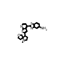 CN1CCC(c2cc3c(-c4nc5cc(N)ccc5s4)ccnc3s2)C12CCOC2